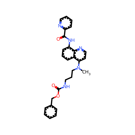 CN(CCCNC(=O)OCc1ccccc1)c1ccnc2c(NC(=O)c3ccccn3)cccc12